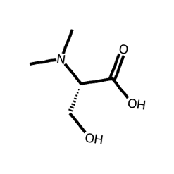 CN(C)[C@@H](CO)C(=O)O